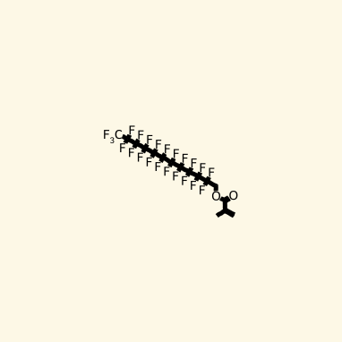 C=C(C)C(=O)OCC(F)(F)C(F)(F)C(F)(F)C(F)(F)C(F)(F)C(F)(F)C(F)(F)C(F)(F)C(F)(F)C(F)(F)C(F)(F)F